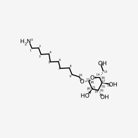 NCCCCCCCCCCO[C@@H]1O[C@H](CO)[C@@H](O)[C@H](O)[C@H]1O